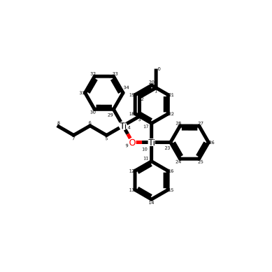 CCC[CH2][Ti]([CH2]CCC)([O][Ti]([c]1ccccc1)([c]1ccccc1)[c]1ccccc1)[c]1ccccc1